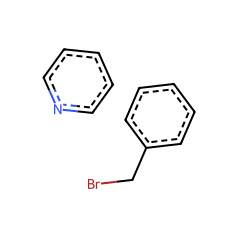 BrCc1ccccc1.c1ccncc1